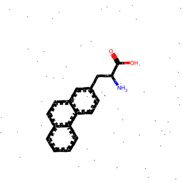 NC(Cc1ccc2c(ccc3ccccc32)c1)C(=O)O